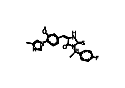 COc1cc(C=C2NC(=S)N([C@H](C)c3ccc(F)cc3)C2=O)ccc1-n1cnc(C)c1